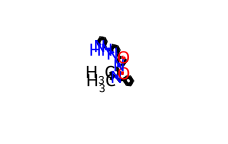 CC(C)N(Cc1ccccc1)C(=O)CN1CCOC(c2cccc(Nc3ccccn3)n2)C1